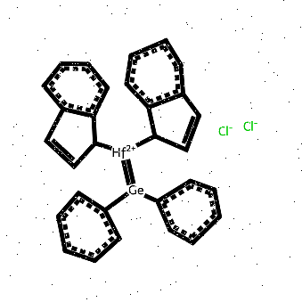 C1=C[CH]([Hf+2]([CH]2C=Cc3ccccc32)=[Ge]([c]2ccccc2)[c]2ccccc2)c2ccccc21.[Cl-].[Cl-]